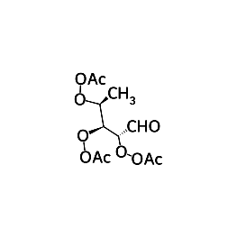 CC(=O)OO[C@@H]([C@H](C)OOC(C)=O)[C@H](C=O)OOC(C)=O